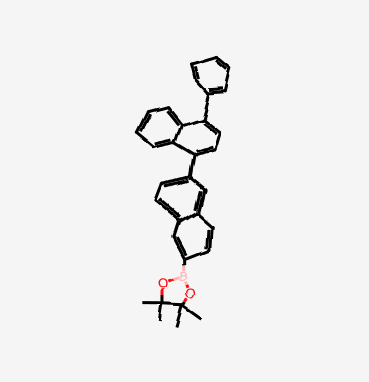 CC1(C)OB(c2ccc3cc(-c4ccc(-c5ccccc5)c5ccccc45)ccc3c2)OC1(C)C